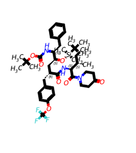 CC[C@H](C)[C@H](NC(=O)[C@H](Cc1ccc(OC(F)(F)F)cc1)C[C@H](O[Si](C)(C)C(C)(C)C)[C@H](Cc1ccccc1)NC(=O)OC(C)(C)C)C(=O)N1CCC(=O)CC1